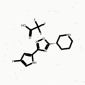 Fc1c[nH]c(-c2noc([C@H]3CCCNC3)n2)c1.O=C(O)C(F)(F)F